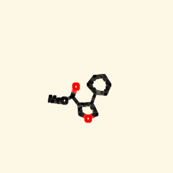 COC(=O)c1cocc1-c1ccccc1